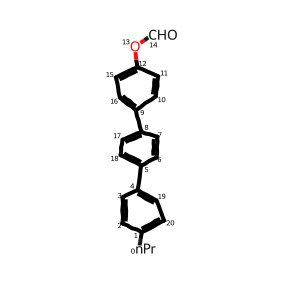 CCCc1ccc(-c2ccc(-c3ccc(OC=O)cc3)cc2)cc1